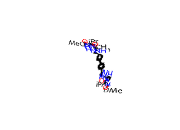 COO/C=N\[C@H](C(=O)N1CCC[C@H]1c1ncc(-c2ccc(-c3ccc(-c4cnc([C@@H](C)NC(=O)[C@@H](NC(=O)OC)C(C)C)[nH]4)cc3)cc2)[nH]1)C(C)C